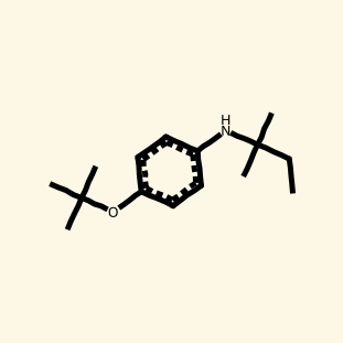 CCC(C)(C)Nc1ccc(OC(C)(C)C)cc1